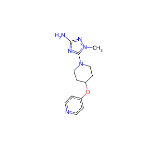 Cn1nc(N)nc1N1CCC(Oc2ccncc2)CC1